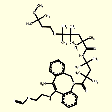 COC(C)(C)CCOC(C)(C)C(C)(C)CC(C)(C)C(=O)NC(C)(C)CC(C)(C)C(=O)N1Cc2ccccc2/C(N)=C(/NCCOC=O)c2ccccc21